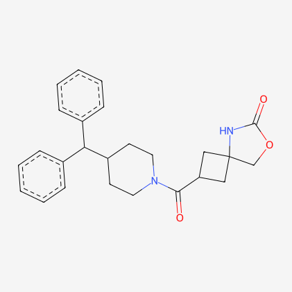 O=C1NC2(CO1)CC(C(=O)N1CCC(C(c3ccccc3)c3ccccc3)CC1)C2